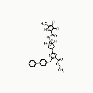 CCOC(=O)c1sc(N2C[C@@H]3[C@H](C2)[C@@H]3NC(=O)c2[nH]c(C)c(Cl)c2Cl)nc1Cc1ccc(-c2ccccc2)cc1